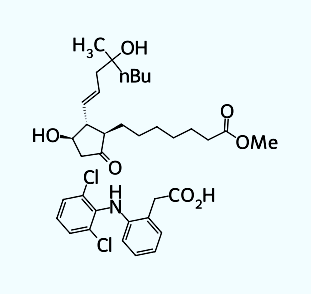 CCCCC(C)(O)C/C=C/[C@H]1[C@H](O)CC(=O)[C@@H]1CCCCCCC(=O)OC.O=C(O)Cc1ccccc1Nc1c(Cl)cccc1Cl